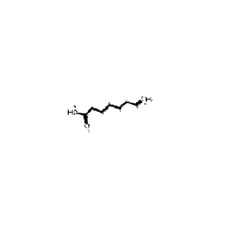 [CH]=CCCCCCC(=O)O